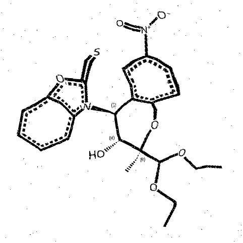 CCOC(OCC)[C@]1(C)Oc2ccc([N+](=O)[O-])cc2[C@H](n2c(=S)oc3ccccc32)[C@H]1O